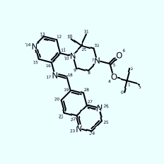 CC(C)(C)OC(=O)N1CCN(c2ccncc2/N=C/c2ccc3nccnc3c2)C(C)(C)C1